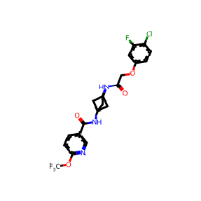 O=C(COc1ccc(Cl)c(F)c1)NC12CC(NC(=O)c3ccc(OC(F)(F)F)nc3)(C1)C2